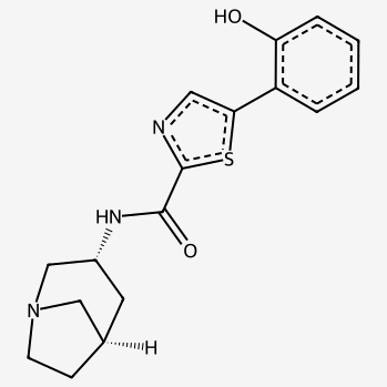 O=C(N[C@@H]1C[C@H]2CCN(C2)C1)c1ncc(-c2ccccc2O)s1